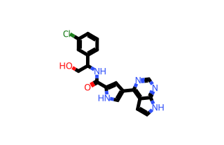 O=C(NC(CO)c1cccc(Cl)c1)c1cc(-c2ncnc3[nH]ccc23)c[nH]1